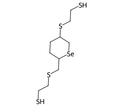 SCCSCC1CCC(SCCS)C[Se]1